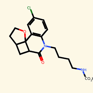 O=C(O)NCCCCN1C(=O)C2CC3CCOC32c2cc(Cl)ccc21